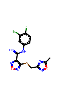 Cc1nc(CSc2nonc2C(=N)Nc2ccc(F)c(Br)c2)no1